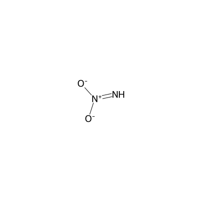 N=[N+]([O-])[O-]